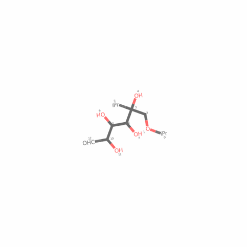 CC(C)OCC(O)(C(C)C)C(O)C(O)C(O)C=O